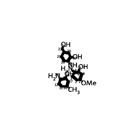 COc1ccc(N)c(O)c1.Cc1ccc(N)c(O)c1.Nc1ccc(CO)cc1O